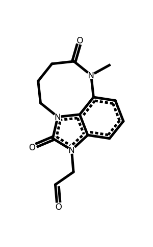 CN1C(=O)CCCn2c(=O)n(CC=O)c3cccc1c32